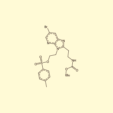 Cc1ccc(S(=O)(=O)OCCn2c(CCNC(=O)OC(C)(C)C)nc3cc(Br)cnc32)cc1